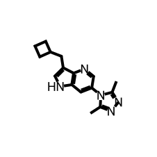 Cc1nnc(C)n1-c1cnc2c(CC3CCC3)c[nH]c2c1